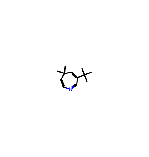 CC1(C)C=CN=CC(C(C)(C)C)=C1